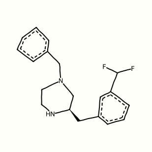 FC(F)c1cccc(C[C@@H]2CN(Cc3ccccc3)CCN2)c1